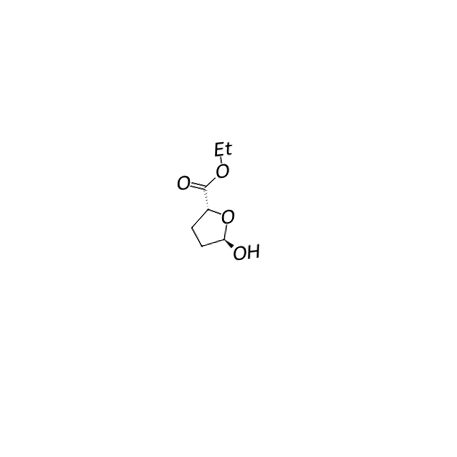 CCOC(=O)[C@H]1CC[C@H](O)O1